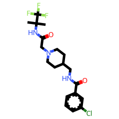 CC(C)(NC(=O)CN1CCC(CNC(=O)c2cccc(Cl)c2)CC1)C(F)(F)F